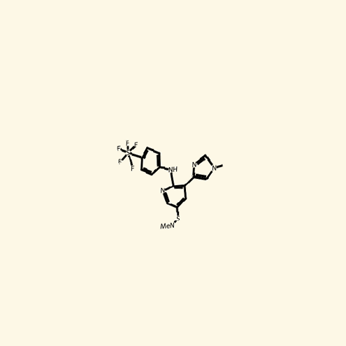 CNSc1cnc(Nc2ccc(S(F)(F)(F)(F)F)cc2)c(-c2cn(C)cn2)c1